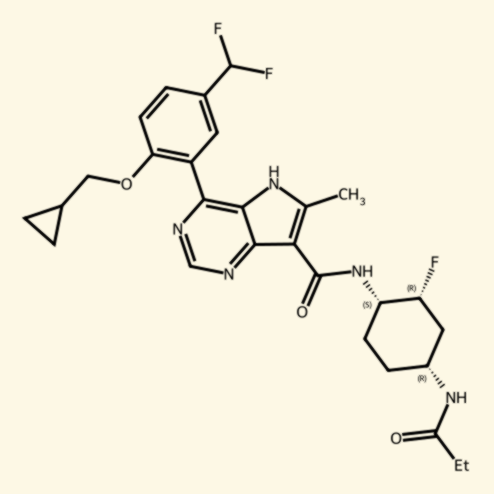 CCC(=O)N[C@@H]1CC[C@H](NC(=O)c2c(C)[nH]c3c(-c4cc(C(F)F)ccc4OCC4CC4)ncnc23)[C@H](F)C1